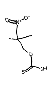 CC(C)(COC(=S)S)[N+](=O)[O-]